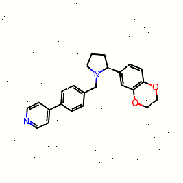 c1cc(-c2ccc(CN3CCC[C@H]3c3ccc4c(c3)OCCO4)cc2)ccn1